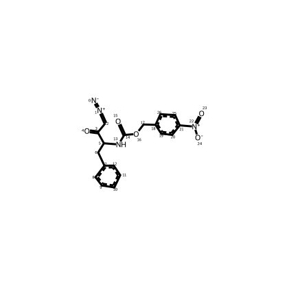 [N-]=[N+]=CC(=O)C(Cc1ccccc1)NC(=O)OCc1ccc([N+](=O)[O-])cc1